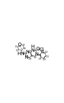 O=C1Nc2nc(NC3CCOCC3)ncc2CN1c1ccccc1Cl